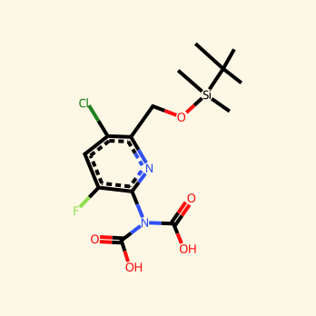 CC(C)(C)[Si](C)(C)OCc1nc(N(C(=O)O)C(=O)O)c(F)cc1Cl